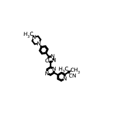 CN1CCN(c2ccc(-c3nnc(-c4cncc(-c5ccnc(C(C)(C)C#N)c5)n4)o3)cc2)CC1